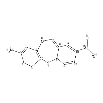 NC1=CC2=C(CC1)SC1C=CC(C(=O)O)=CC1=CO2